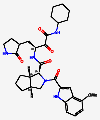 COc1cccc2[nH]c(C(=O)N3C[C@@H]4CCC[C@@H]4[C@H]3C(=O)N[C@@H](CC3CCNC3=O)C(=O)C(=O)NC3CCCCC3)cc12